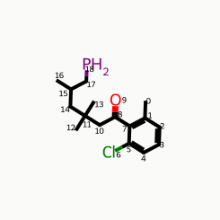 Cc1cccc(Cl)c1C(=O)CC(C)(C)CC(C)CP